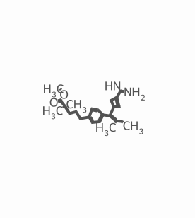 CC/C(C)=C(/c1ccc(CCCC(C)(C)C(=O)OC)cc1)C1C=C(C(=N)N)C1